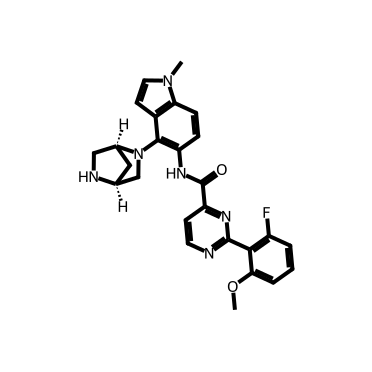 COc1cccc(F)c1-c1nccc(C(=O)Nc2ccc3c(ccn3C)c2N2C[C@@H]3C[C@H]2CN3)n1